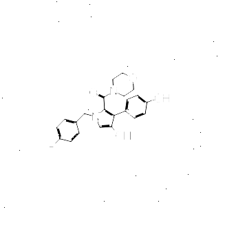 Cc1ccc(-c2c(C)cn(Cc3ccc(F)cc3)c2C(=O)N2CCOCC2)cc1